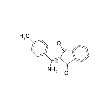 Cc1ccc(/C(N)=C2/C(=O)c3ccccc3[S+]2[O-])cc1